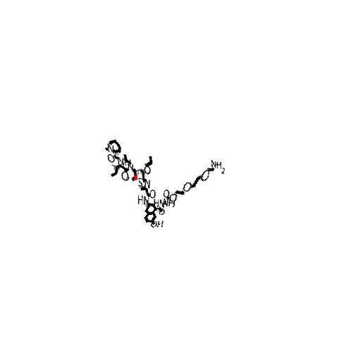 CCCO[C@H](C[C@H](C(C)C)N(CCC)C(=O)[C@@H](NC(=O)[C@H]1CCCCN1C)[C@@H](C)CC)c1nc(C(=O)N[C@H]2Cc3ccc(O)cc3[C@H](C(=O)NNC(=O)OCCOCCOCCN)C2)cs1